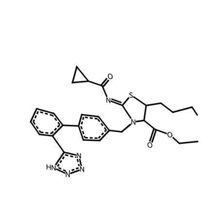 CCCCC1SC(=NC(=O)C2CC2)N(Cc2ccc(-c3ccccc3-c3nnn[nH]3)cc2)C1C(=O)OCC